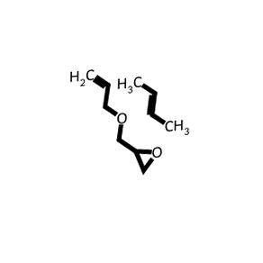 C=CCOCC1CO1.CC=CC